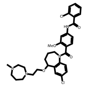 COc1cc(NC(=O)c2ccccc2Cl)ccc1C(=O)N1CCCC(OCCN2CCCN(C)CC2)c2cc(Cl)ccc21